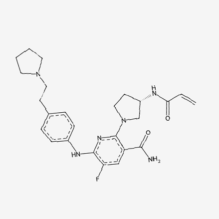 C=CC(=O)N[C@H]1CCN(c2nc(Nc3ccc(CCN4CCCC4)cc3)c(F)cc2C(N)=O)C1